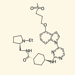 CCN1CCC[C@@H]1CNC(=O)[C@H]1CC[C@H](Nc2nccc(-n3ccc4c(OCCCS(C)(=O)=O)cccc43)n2)CC1